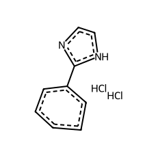 Cl.Cl.c1ccc(-c2ncc[nH]2)cc1